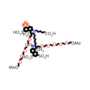 CC[N+]1=C(/C=C/C=C/C=C2/N(CCCCCC(=O)O)c3ccc4c(S(=O)(=O)[O-])cc(S(=O)(=O)O)cc4c3C2(C)CCOCCOCCOCCOCCOCCOC)C(C)(CCOCCOCCOCCOCCOCCOC)c2c1ccc1c(S(=O)(=O)O)cc(S(=O)(=O)O)cc21